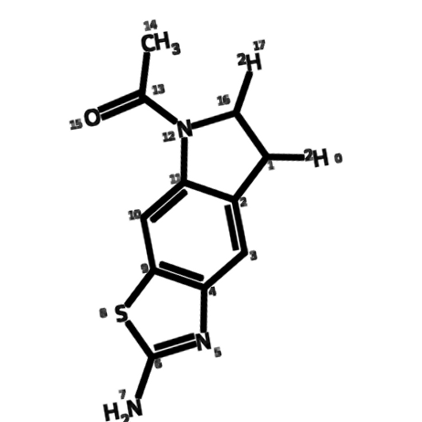 [2H]C1c2cc3nc(N)sc3cc2N(C(C)=O)C1[2H]